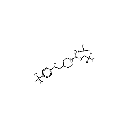 CS(=O)(=O)c1ccc(NCC2CCN(C(=O)OC(C(F)(F)F)C(F)(F)F)CC2)cc1